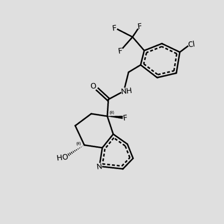 O=C(NCc1ccc(Cl)cc1C(F)(F)F)[C@@]1(F)CC[C@@H](O)c2ncccc21